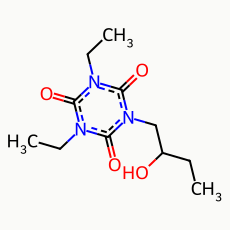 CCC(O)Cn1c(=O)n(CC)c(=O)n(CC)c1=O